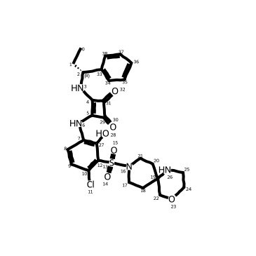 CC[C@@H](Nc1c(Nc2ccc(Cl)c(S(=O)(=O)N3CCC4(CC3)COCCN4)c2O)c(=O)c1=O)c1ccccc1